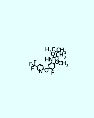 COc1cc(F)c(Oc2ccc(C(F)(F)F)cn2)cc1NC(=O)OC(C)(C)C